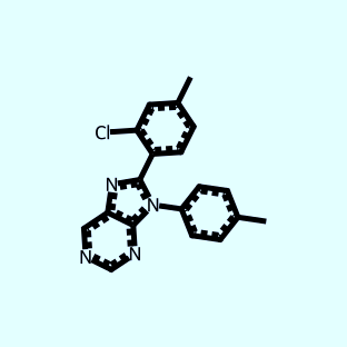 Cc1ccc(-n2c(-c3ccc(C)cc3Cl)nc3cncnc32)cc1